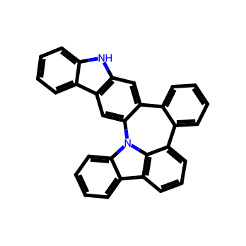 c1ccc2c(c1)-c1cc3[nH]c4ccccc4c3cc1-n1c3ccccc3c3cccc-2c31